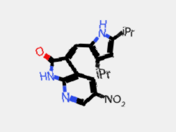 CC(C)c1cc(C(C)C)c(C=C2C(=O)Nc3ncc([N+](=O)[O-])cc32)[nH]1